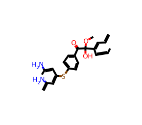 C=C/C=C(\C=C/C)C(O)(OC)C(=O)c1ccc(SC(/C=C(\C)N)=C/C(=C)N)cc1